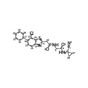 N#CC1(NC(=O)CNC(=O)Cc2nc3ccc(-c4ccccc4)c(Cl)c3s2)CC1